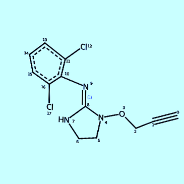 C#CCON1CCN/C1=N\c1c(Cl)cccc1Cl